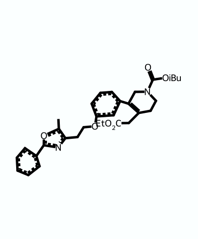 CCOC(=O)CC1=C(c2cccc(OCCc3nc(-c4ccccc4)oc3C)c2)CN(C(=O)OCC(C)C)CC1